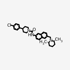 C[C@@H]1CCC[C@H](C)N1Cc1ccc2cc(NC(=O)N3CCC(c4ccc(Cl)cc4)CC3)ccc2c1